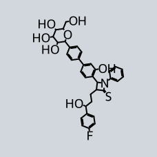 OCC1OC(c2ccc(-c3ccc(C4C(CCC(O)c5ccc(F)cc5)C(=S)N4c4ccccc4)c(O)c3)cc2)C(O)C(O)C1O